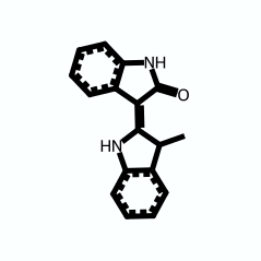 CC1C(=C2C(=O)Nc3ccccc32)Nc2ccccc21